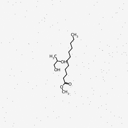 CC(O)CO.CCCCCCCCCCCC(=O)OC